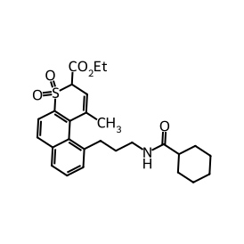 CCOC(=O)C1C=C(C)c2c(ccc3cccc(CCCNC(=O)C4CCCCC4)c23)S1(=O)=O